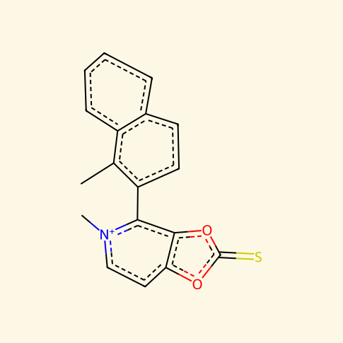 Cc1c(-c2c3oc(=S)oc3cc[n+]2C)ccc2ccccc12